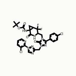 CC(C)(C)OC(=O)NC12CC1C(F)(F)C(Cn1c(-c3ccc(Cl)cc3)nn(Cc3ncn(-c4ncccc4Cl)n3)c1=O)NC2=O